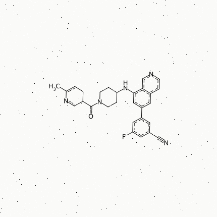 CC1=CCC(C(=O)N2CCC(Nc3cc(-c4cc(F)cc(C#N)c4)cc4ccncc34)CC2)C=N1